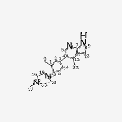 Cc1cc(-c2cnc3[nH]ccc3c2C)ccc1N1CCN(C)CC1